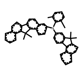 Cc1cccc(C)c1N(c1ccc2c(c1)C(C)(C)c1ccc3ccccc3c1-2)c1ccc2c3c(ccc2c1)-c1ccc2ccccc2c1C3(C)C